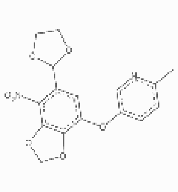 Cc1ccc(Oc2cc(C3OCCO3)c([N+](=O)[O-])c3c2OCO3)cn1